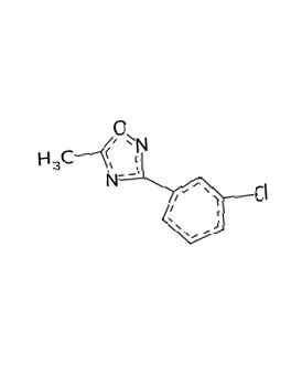 Cc1nc(-c2cccc(Cl)c2)no1